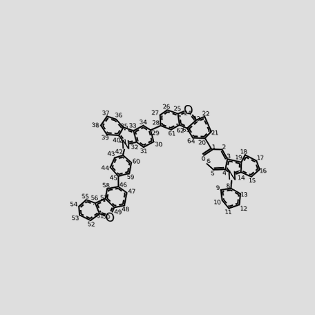 C=C(/C=c1\c(=C/C)n(-c2ccccc2)c2ccccc12)c1ccc2oc3ccc(-c4ccc5c(c4)c4ccccc4n5-c4ccc(-c5ccc6oc7ccccc7c6c5)cc4)cc3c2c1